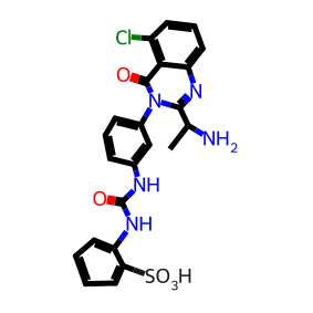 CC(N)c1nc2cccc(Cl)c2c(=O)n1-c1cccc(NC(=O)Nc2ccccc2S(=O)(=O)O)c1